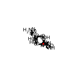 Nc1ncnc2c1ncn2[C@@H]1OC2COP(=O)(O)O[C@@H]3[C@H](O)[C@@H](COP(=O)(O)O[C@H]2[C@H]1O)O[C@H]3n1cnc2c(=O)[nH]ccc21